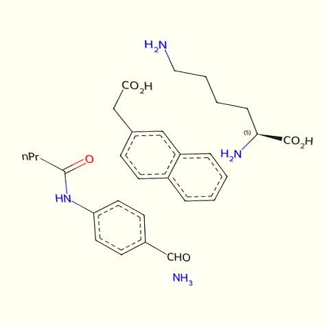 CCCC(=O)Nc1ccc(C=O)cc1.N.NCCCC[C@H](N)C(=O)O.O=C(O)Cc1ccc2ccccc2c1